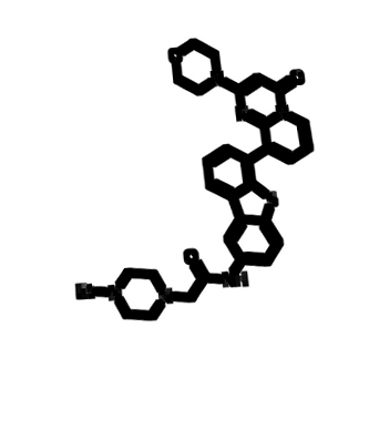 CCN1CCN(CC(=O)Nc2ccc3sc4c(-c5cccn6c(=O)cc(N7CCOCC7)nc56)cccc4c3c2)CC1